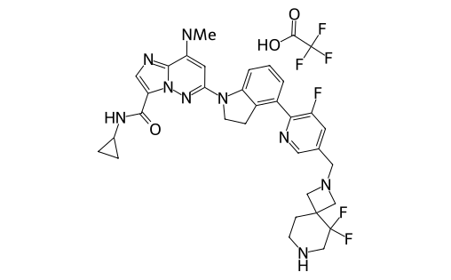 CNc1cc(N2CCc3c(-c4ncc(CN5CC6(CCNCC6(F)F)C5)cc4F)cccc32)nn2c(C(=O)NC3CC3)cnc12.O=C(O)C(F)(F)F